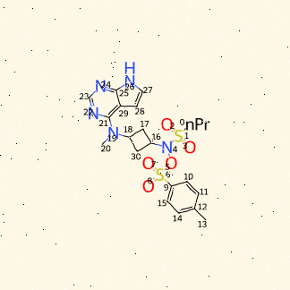 CCCS(=O)(=O)N(OS(=O)(=O)c1ccc(C)cc1)C1CC(N(C)c2ncnc3[nH]ccc23)C1